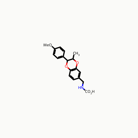 COc1ccc(C2Oc3ccc(CNC(=O)O)cc3OC2C)cc1